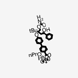 CCCOc1cc(-c2ccc(OC(COC(N)=O)(C[C@@H](O)c3ccccc3)C(C)(C)C)cc2)ccc1C(=O)NS(C)(=O)=O